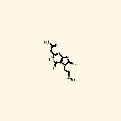 CCSCCn1c(=O)[nH]c2nc(CC(N)=O)[nH]c(=O)c21